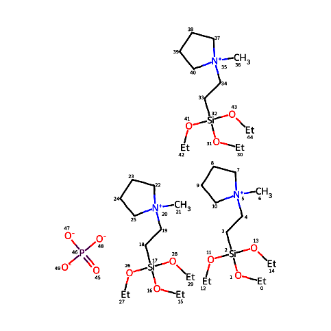 CCO[Si](CC[N+]1(C)CCCC1)(OCC)OCC.CCO[Si](CC[N+]1(C)CCCC1)(OCC)OCC.CCO[Si](CC[N+]1(C)CCCC1)(OCC)OCC.O=P([O-])([O-])[O-]